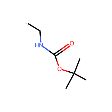 [CH2]CNC(=O)OC(C)(C)C